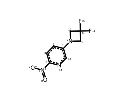 O=[N+]([O-])c1ccc(N2CC(F)(F)C2)cn1